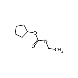 CC[N]C(=O)OC1CCCC1